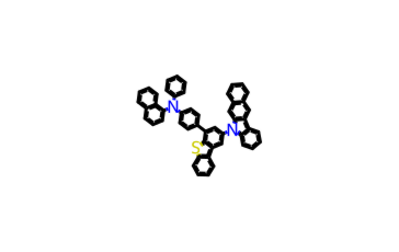 c1ccc(N(c2ccc(-c3cc(-n4c5ccccc5c5cc6ccccc6cc54)cc4c3sc3ccccc34)cc2)c2cccc3ccccc23)cc1